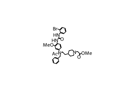 COC(=O)CN1CCC(CC[N+](Cc2ccccc2)(C(C)=O)c2ccc(NC(=O)Nc3ccccc3Br)c(OC)c2)CC1